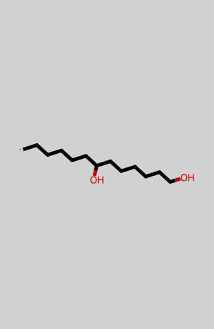 [CH2]CCCCCC(O)CCCCCCO